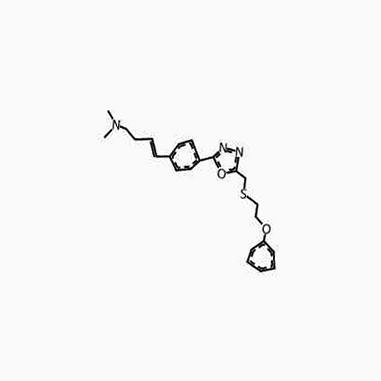 CN(C)CC/C=C/c1ccc(-c2nnc(CSCCOc3ccccc3)o2)cc1